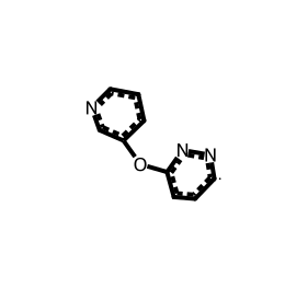 [c]1ccc(Oc2cccnc2)nn1